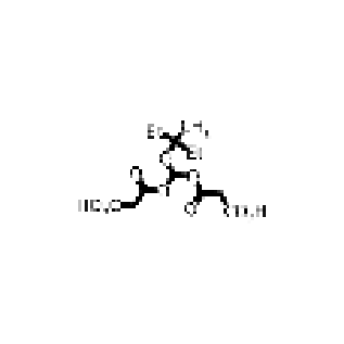 CCC(C)(CC)OC(OC(=O)CC(=O)O)OC(=O)CC(=O)O